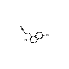 N#CCCc1c(O)ccc2cc(Br)ccc12